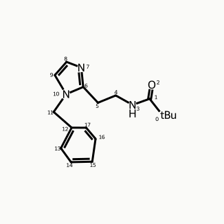 CC(C)(C)C(=O)NCCc1nccn1Cc1ccccc1